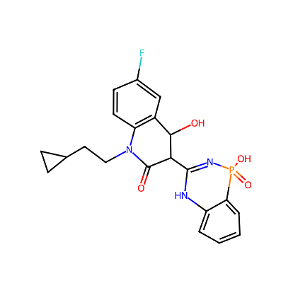 O=C1C(C2=NP(=O)(O)c3ccccc3N2)C(O)c2cc(F)ccc2N1CCC1CC1